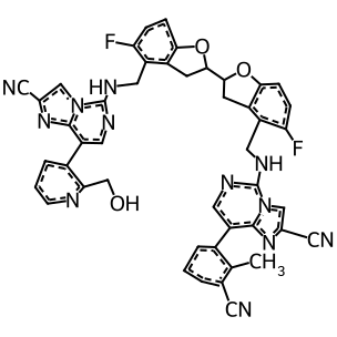 Cc1c(C#N)cccc1-c1cnc(NCc2c(F)ccc3c2CC(C2Cc4c(ccc(F)c4CNc4ncc(-c5cccnc5CO)c5nc(C#N)cn45)O2)O3)n2cc(C#N)nc12